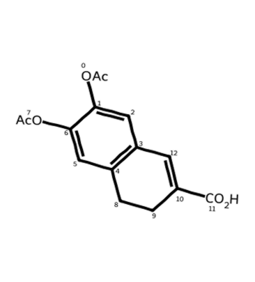 CC(=O)Oc1cc2c(cc1OC(C)=O)CCC(C(=O)O)=C2